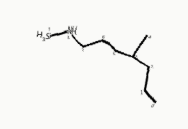 CCCC(C)CCCN[SiH3]